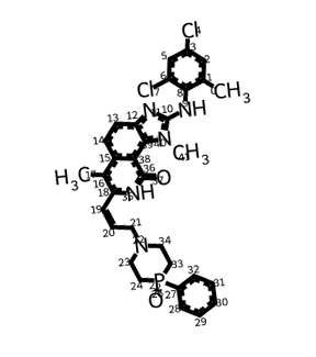 Cc1cc(Cl)cc(Cl)c1Nc1nc2ccc3c(C)c(/C=C\CN4CCP(=O)(c5ccccc5)CC4)[nH]c(=O)c3c2n1C